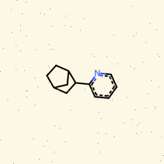 c1ccc(C2CC3CCC2C3)nc1